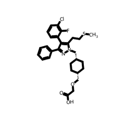 CSCCc1c(-c2cccc(Cl)c2F)c(-c2ccccc2)nn1C[C@H]1CC[C@@H](COCC(=O)O)CC1